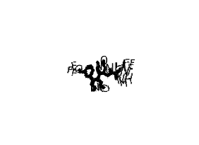 Cn1cc(-c2cccc(COC(F)(F)F)c2)c(-c2cn(C)c(=O)c3[nH]c(/C(C=N)=C/NC(F)(F)F)cc23)cc1=O